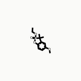 CCOP1(=O)Oc2ccc(OC)cc2C1(C)C